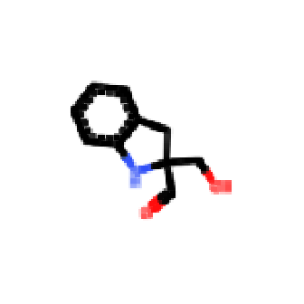 O=CC1(CO)Cc2ccccc2N1